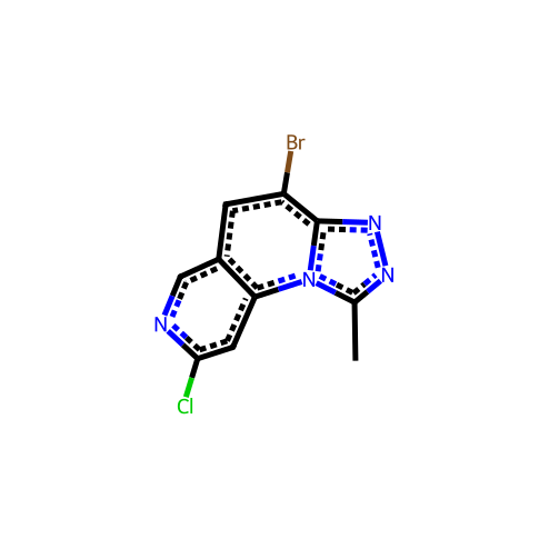 Cc1nnc2c(Br)cc3cnc(Cl)cc3n12